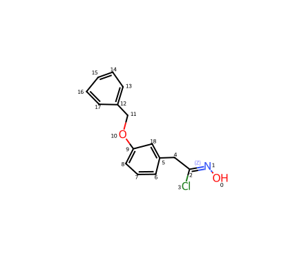 O/N=C(\Cl)Cc1cccc(OCc2ccccc2)c1